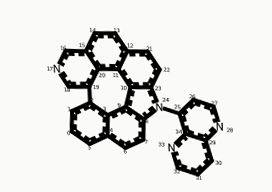 c1cc2c3c(c1)ccc1c3c3c4c(ccc5cncc-2c54)ccc3n1-c1ccnc2cccnc12